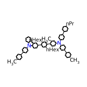 CCCCCCc1cc(-c2ccc(N(c3ccc(-c4ccc(C)cc4)cc3)c3ccc(-c4ccc(CCC)cc4)cc3)cc2C)c(CCCCCC)cc1-c1ccc2c(c1)c1ccccc1n2-c1ccc(-c2ccc(C)cc2)cc1